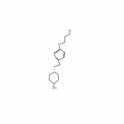 CCC[C@H]1CC[C@H](CCc2ccc(OCCOCC)cc2)CC1